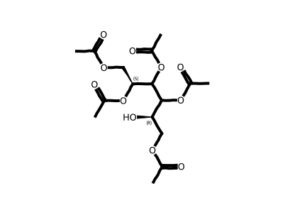 CC(=O)OC[C@@H](O)C(OC(C)=O)C(OC(C)=O)[C@H](COC(C)=O)OC(C)=O